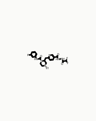 CCN1CCN(C(=O)Nc2cccc(F)c2)C(Cc2ccc(C(=O)NNC(=O)C(F)F)cn2)C1